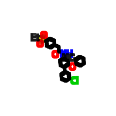 CCS(=O)(=O)c1ccc(CC(=O)Nc2ccc(-c3cccc(Cl)c3)c(Oc3ccccc3C#N)c2)cc1